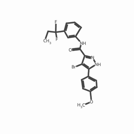 CCC(F)(F)c1cccc(NC(=O)c2n[nH]c(-c3ccc(OC)cc3)c2Br)c1